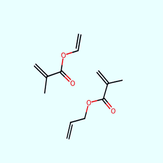 C=CCOC(=O)C(=C)C.C=COC(=O)C(=C)C